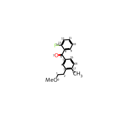 COCCc1cc(C(=O)c2ccccc2F)ccc1C